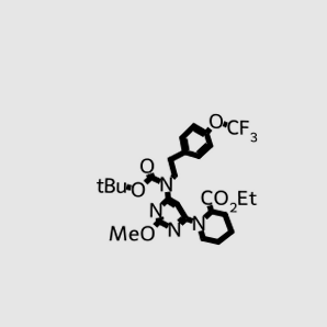 CCOC(=O)C1CCCCN1c1cc(N(CCc2ccc(OC(F)(F)F)cc2)C(=O)OC(C)(C)C)nc(OC)n1